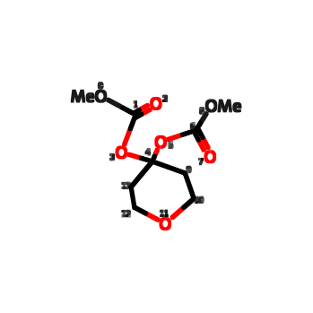 COC(=O)OC1(OC(=O)OC)CCOCC1